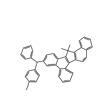 CC1(C)c2c(ccc3ccccc23)-c2c1c1ccc(N(c3ccccc3)c3ccc(F)cc3)cc1c1ccccc21